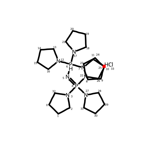 C1CCN(P(=N[PH](N2CCCC2)(N2CCCC2)N2CCCC2)(N2CCCC2)N2CCCC2)C1.Cl